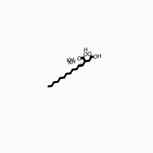 CCCCCCCCCC/C=C/C(CC(=O)O)C(=O)O.[KH].[KH]